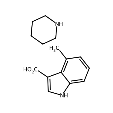 C1CCNCC1.Cc1cccc2[nH]cc(C(=O)O)c12